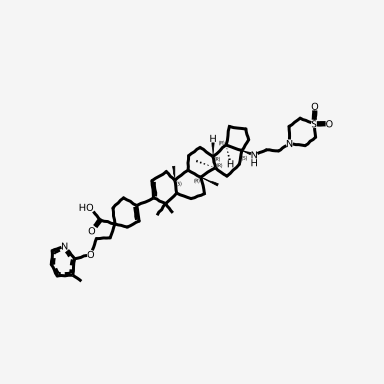 Cc1cccnc1OCCC1(C(=O)O)CC=C(C2=CC[C@@]3(C)C(CC[C@]4(C)C3CC[C@@H]3[C@H]5CCC[C@]5(NCCN5CCS(=O)(=O)CC5)CC[C@]34C)C2(C)C)CC1